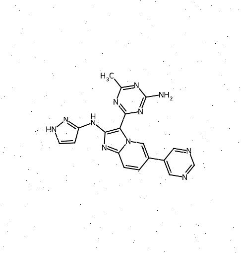 Cc1nc(N)nc(-c2c(Nc3cc[nH]n3)nc3ccc(-c4cncnc4)cn23)n1